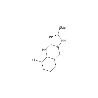 CSC1NC2NC3C(Cl)CCCC3CN2N1